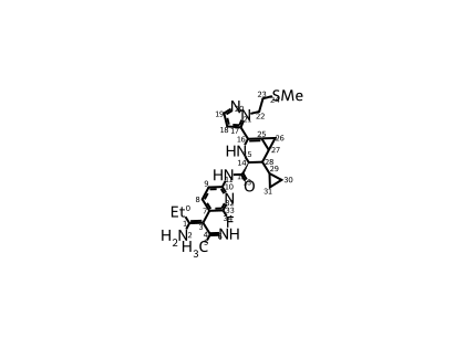 CC/C(N)=C(/C(C)=N)c1ccc(NC(=O)[C@H]2NC(c3ccnn3CCSC)=C3CC3C2C2CC2)nc1F